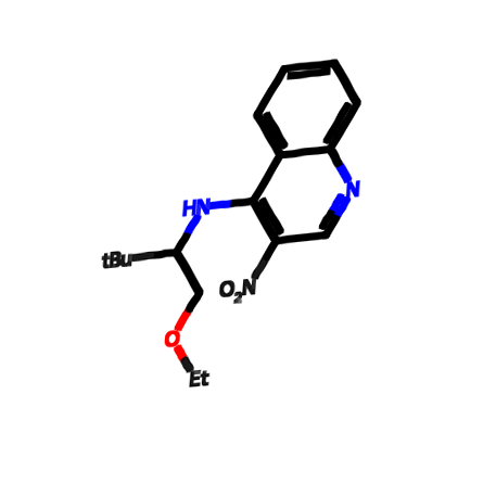 CCOCC(Nc1c([N+](=O)[O-])cnc2ccccc12)C(C)(C)C